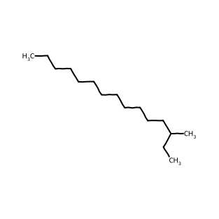 CCCCCCCCCCCCC(C)CC